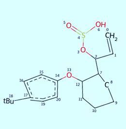 C=CC(OS(=O)O)C1CCCCC1Oc1ccc(C(C)(C)C)cc1